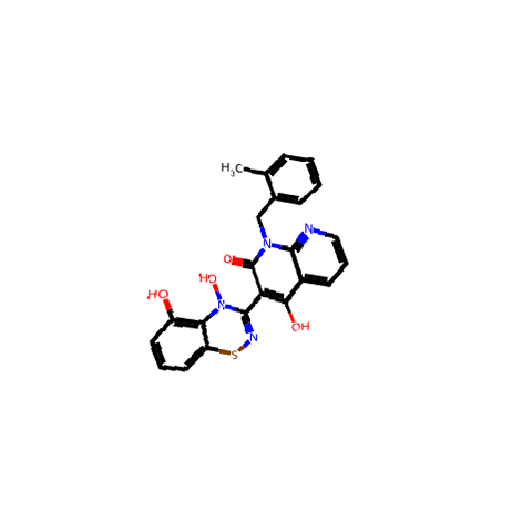 Cc1ccccc1Cn1c(=O)c(C2=NSc3cccc(O)c3N2O)c(O)c2cccnc21